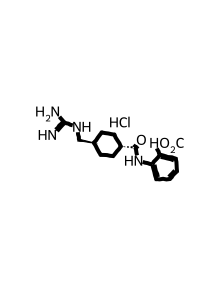 Cl.N=C(N)NC[C@H]1CC[C@H](C(=O)Nc2ccccc2C(=O)O)CC1